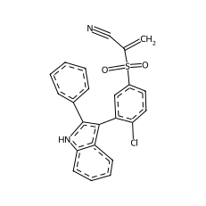 C=C(C#N)S(=O)(=O)c1ccc(Cl)c(-c2c(-c3ccccc3)[nH]c3ccccc23)c1